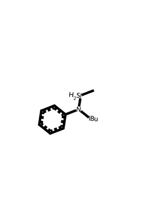 CCC(C)N([SiH2]C)c1ccccc1